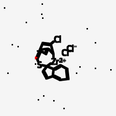 ClC1=Cc2c3cccc2[CH]1[Zr+2][C]1(C=Cc2ccccc21)S3.[Cl-].[Cl-]